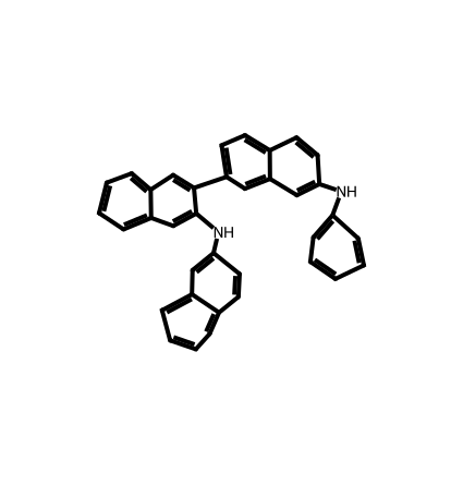 c1ccc(Nc2ccc3ccc(-c4cc5ccccc5cc4Nc4ccc5ccccc5c4)cc3c2)cc1